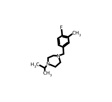 Cc1cc(CN2CCN(C(C)C)CC2)ccc1F